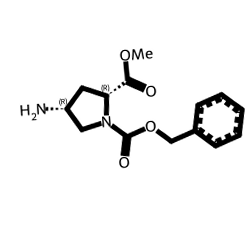 COC(=O)[C@H]1C[C@@H](N)CN1C(=O)OCc1ccccc1